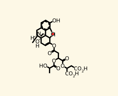 CC(O)C(=O)OC(CC(=O)OC1=CC[C@@]2(O)[C@H]3Cc4ccc(O)c5c4[C@@]2(CCN3C)[C@H]1O5)C(=O)OC(CC(=O)O)C(=O)O